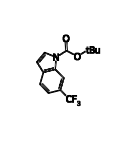 CC(C)(C)OC(=O)n1ccc2ccc(C(F)(F)F)cc21